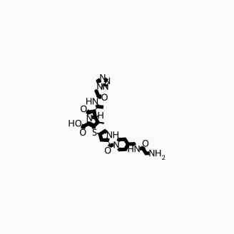 CC(NC(=O)Cn1cnnn1)[C@H]1C(=O)N2C(C(=O)O)=C(S[C@@H]3CN[C@H](C(=O)N4CCC(CNC(=O)CN)CC4)C3)[C@H](C)[C@H]12